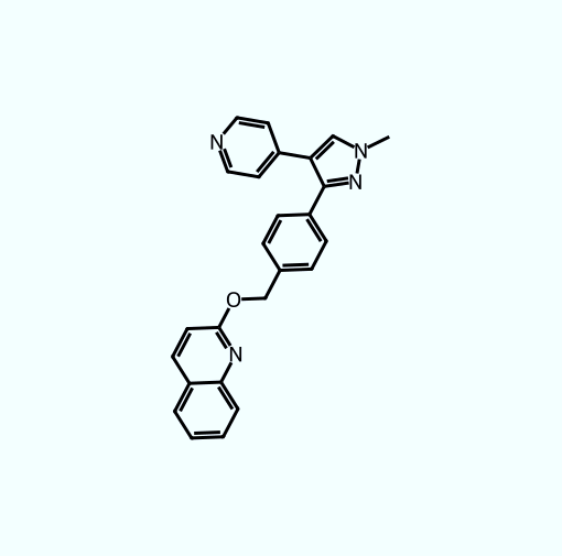 Cn1cc(-c2ccncc2)c(-c2ccc(COc3ccc4ccccc4n3)cc2)n1